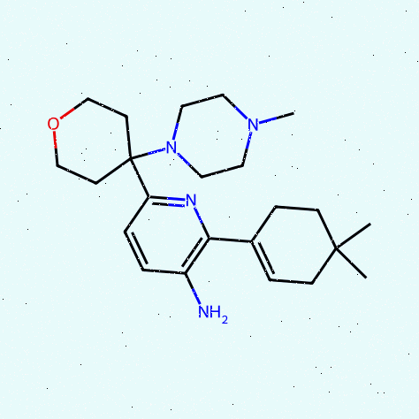 CN1CCN(C2(c3ccc(N)c(C4=CCC(C)(C)CC4)n3)CCOCC2)CC1